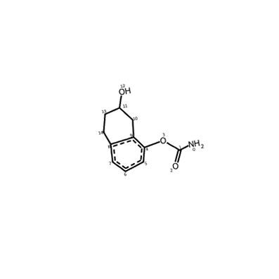 NC(=O)Oc1cccc2c1CC(O)CC2